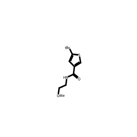 COCCNC(=O)c1csc(C(C)(C)C)c1